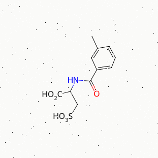 Cc1cccc(C(=O)NC(CS(=O)(=O)O)C(=O)O)c1